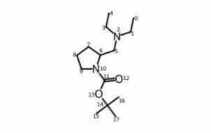 CCN(CC)CC1CCCN1C(=O)OC(C)(C)C